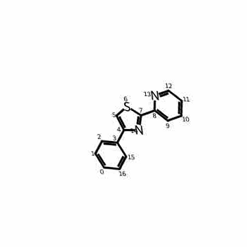 c1ccc(-c2csc(-c3ccccn3)n2)cc1